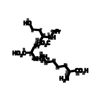 CC(C)C(N)C(=O)O.CCCNC(CCO)C(=O)O.NCCCCC(N)C(=O)O